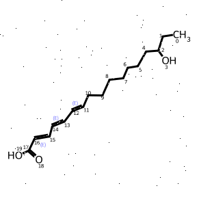 CCC(O)CCCCCCC/C=C/C=C/C=C/C(=O)O